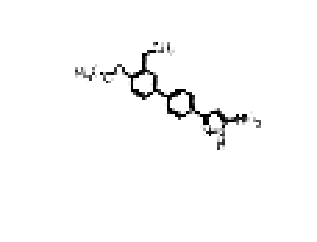 CCc1cc(-c2ccc(-c3cc(N)[nH]n3)cc2)ccc1OOC